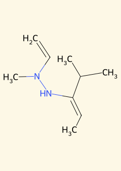 C=CN(C)N/C(=C\C)C(C)C